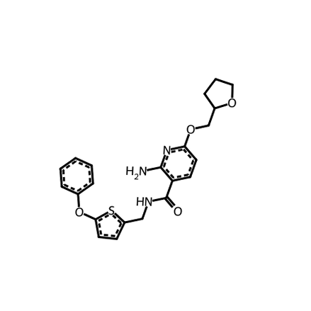 Nc1nc(OCC2CCCO2)ccc1C(=O)NCc1ccc(Oc2ccccc2)s1